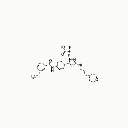 COc1cccc(C(=O)Nc2ccc(-c3nnc(NCCCN4CCOCC4)o3)cc2)c1.O=C(O)C(F)(F)F